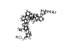 CC(=O)NCCNC1CCCn2nc(C(=O)Nc3cccc(-c4cccc(-c5nc6cc(CN7CC[C@@H](C(=O)O)C7)cc(C#N)c6o5)c4C)c3C)cc21